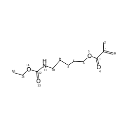 C=C(C)C(=O)OCCCCCNC(=O)OCC